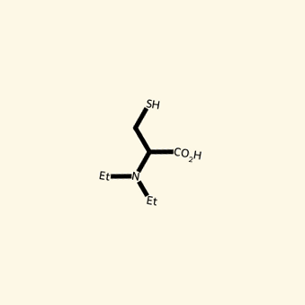 CCN(CC)C(CS)C(=O)O